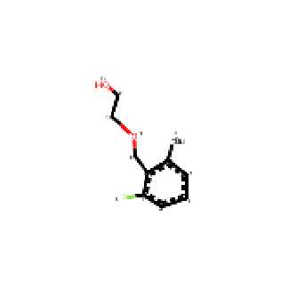 CC(C)(C)c1cccc(F)c1COCCO